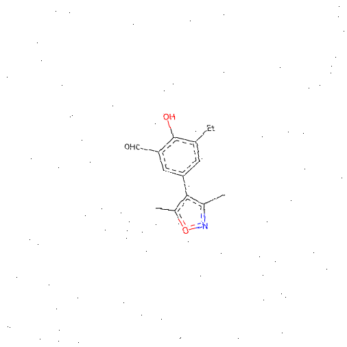 CCc1cc(-c2c(C)noc2C)cc(C=O)c1O